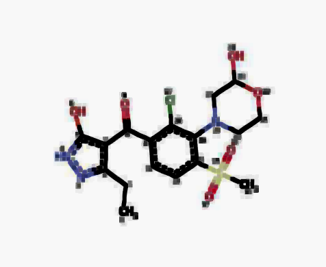 CCc1n[nH]c(O)c1C(=O)c1ccc(S(C)(=O)=O)c(N2CCOC(O)C2)c1Cl